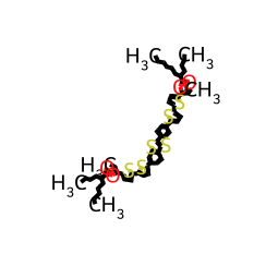 CCCCCCC(CCCC)C(=O)OC(CC)c1ccc(-c2ccc(-c3ccc4c(c3)sc3c5ccc(-c6ccc(-c7ccc(C(CC)OC(=O)C(CCCC)CCCCC)s7)s6)cc5sc43)s2)s1